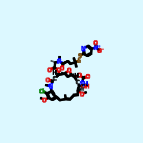 COc1cc2cc(c1Cl)N(C)C(=O)C[C@H](OC(=O)[C@H](C)N(C)C(=O)CCC(C)(C)SSc1ccc([N+](=O)[O-])cn1)[C@@]1(C)CC(C)(O1)[C@@H]1C[C@@](O)(NC(=O)O1)[C@H](OC)/C=C/C=C(\C)C2